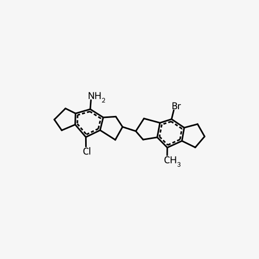 Cc1c2c(c(Br)c3c1CC(C1Cc4c(N)c5c(c(Cl)c4C1)CCC5)C3)CCC2